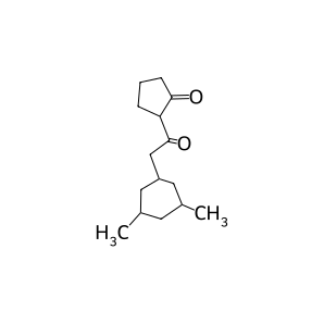 CC1CC(C)CC(CC(=O)C2CCCC2=O)C1